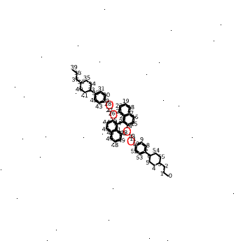 CCCC1CCC(c2ccc(OCOc3ccc4ccccc4c3-c3c(OCOc4ccc(C5CCC(CCC)CC5)cc4)ccc4ccccc34)cc2)CC1